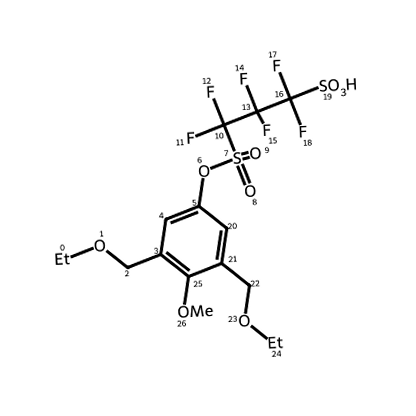 CCOCc1cc(OS(=O)(=O)C(F)(F)C(F)(F)C(F)(F)S(=O)(=O)O)cc(COCC)c1OC